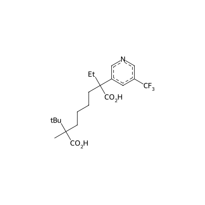 CCC(CCCCC(C)(C(=O)O)C(C)(C)C)(C(=O)O)c1cncc(C(F)(F)F)c1